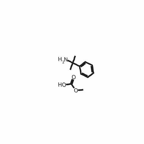 CC(C)(N)c1ccccc1.COC(=O)O